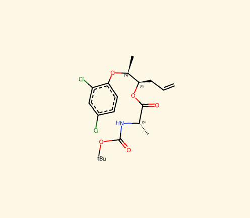 C=CC[C@@H](OC(=O)[C@H](C)NC(=O)OC(C)(C)C)[C@H](C)Oc1ccc(Cl)cc1Cl